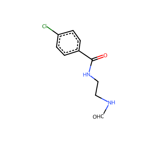 O=CNCCNC(=O)c1ccc(Cl)cc1